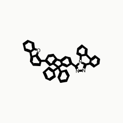 c1ccc(C2(c3ccccc3)c3cc(-c4cccc5c4oc4ccccc45)ccc3-c3ccc(-c4nnc5c6ccccc6c6ccccc6n45)cc32)cc1